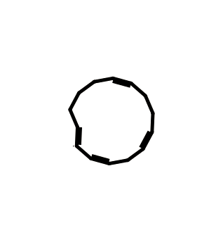 [C]1=C/CCC/C=C\CC/C=C\C\C=C/1